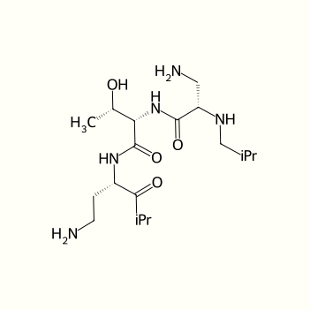 CC(C)CN[C@@H](CN)C(=O)N[C@H](C(=O)N[C@@H](CCN)C(=O)C(C)C)[C@H](C)O